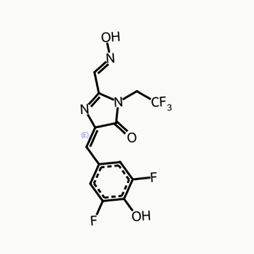 O=C1/C(=C\c2cc(F)c(O)c(F)c2)N=C(C=NO)N1CC(F)(F)F